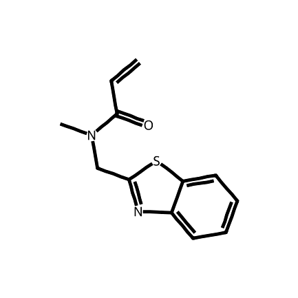 C=CC(=O)N(C)Cc1nc2ccccc2s1